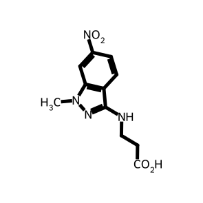 Cn1nc(NCCC(=O)O)c2ccc([N+](=O)[O-])cc21